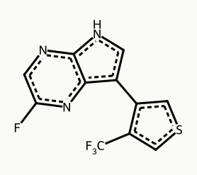 Fc1cnc2[nH]cc(-c3cscc3C(F)(F)F)c2n1